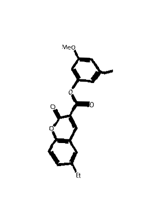 CCc1ccc2oc(=O)c(C(=O)Oc3cc(C)cc(OC)c3)cc2c1